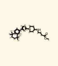 COC(=O)CCCNC1CCN(c2nc(-c3ccc4c(c3)C(C)(C)CCC4(C)C)cs2)CC1